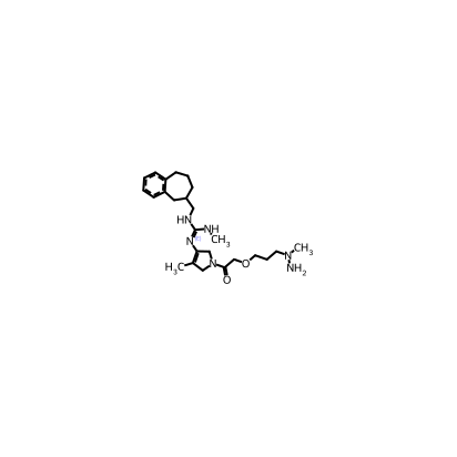 CN/C(=N\C1=C(C)CN(C(=O)COCCCN(C)N)C1)NCC1CCCc2ccccc2C1